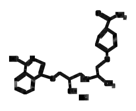 CC(COc1ccc(C(N)=O)cc1)NCC(O)COc1cnc(O)c2ccccc12.Cl